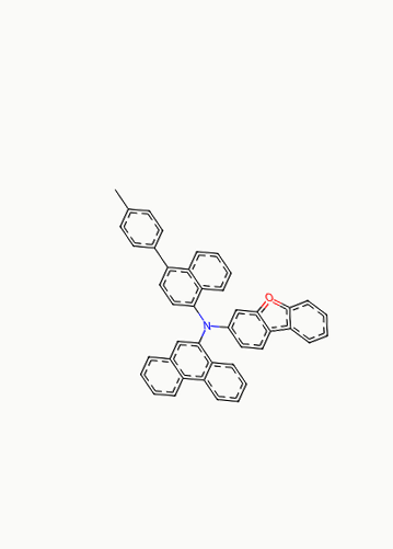 Cc1ccc(-c2ccc(N(c3ccc4c(c3)oc3ccccc34)c3cc4ccccc4c4ccccc34)c3ccccc23)cc1